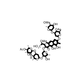 CO[C@H]1[C@H](O)C[C@@H](O[C@@H]2C[C@H](Oc3cc4cc5c(c(O)c4c(O)c3C)C(=O)[C@@H](O[C@H]3C[C@H](O[C@H]4C[C@H](O[C@H]6C[C@@](C)(O)[C@@H](OC(C)=O)[C@H](C)O6)[C@H](O)[C@@H](C)O4)[C@H](O)[C@@H](C)O3)[C@H]([C@H](OC)C(=O)O)C5)O[C@H](C)[C@H]2OC(C)=O)O[C@@H]1C